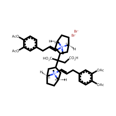 CC(=O)Oc1ccc(CC=C[N+]2(C)[C@@H]3CC[C@H]2CC(C(CC(=O)O)(C(=O)O)C2C[C@H]4CC[C@@H](C2)[N+]4(C)C=CCc2ccc(OC(C)=O)c(OC(C)=O)c2)C3)cc1OC(C)=O.[Br-].[Br-]